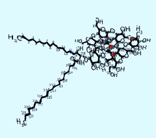 CCCCCCCCCCCCC/C=C/[C@@H](O)[C@H](CO[C@@H]1OC(CO)[C@@H](O[C@@H]2OC(CO)[C@H](O)[C@H](O[C@@H]3OC(CO)[C@@H](O[C@H]4OC(C)[C@@H](O)C(O)[C@@H]4O)[C@H](O[C@@H]4OC(CO)[C@H](O)[C@H](O[C@@H]5OC(CO)[C@@H](O[C@@H]6OC(CO)[C@H](O)[C@H](O)C6O)[C@H](O)C5NC(C)=O)C4O)C3NC(C)=O)C2O)[C@H](O)C1O)NC(=O)CCCCCCCCCCCCCCCCCCC